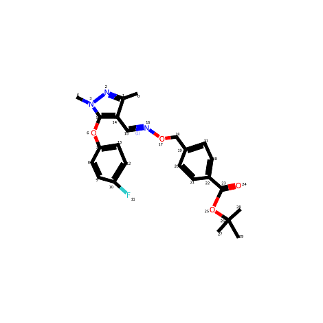 Cc1nn(C)c(Oc2ccc(F)cc2)c1/C=N/OCc1ccc(C(=O)OC(C)(C)C)cc1